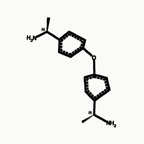 C[C@H](N)c1ccc(Oc2ccc([C@@H](C)N)cc2)cc1